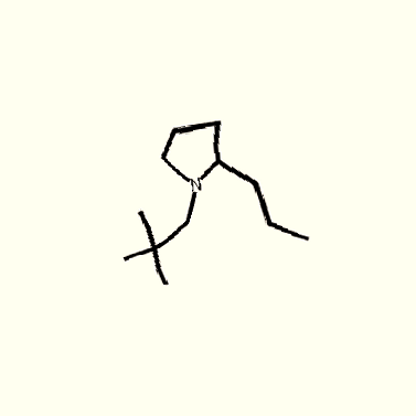 CCCC1CCCN1CC(C)(C)C